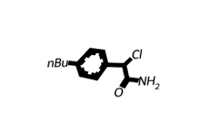 CCCCc1ccc(C(Cl)C(N)=O)cc1